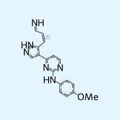 COc1ccc(Nc2nccc(-c3cn[nH]c3/C=C\C=N)n2)cc1